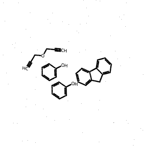 C#CCOCC#C.Oc1ccccc1.Oc1ccccc1.c1ccc2c(c1)Cc1ccccc1-2